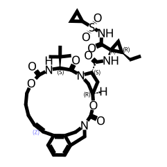 CC[C@@H]1C[C@]1(NC(=O)[C@@H]1C[C@@H]2CN1C(=O)[C@H](C(C)(C)C)NC(=O)OCCC/C=C\c1cccc3c1CN(C3)C(=O)O2)C(=O)NS(=O)(=O)C1CC1